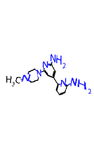 CN1CCN(c2cc(-c3cccc(N)n3)cc(N)n2)CC1